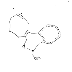 OP1OC2=C(C=CCC2)c2ccccc21